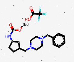 CC(C)(C)OC(=O)NC1CCC(CN2CCN(Cc3ccccc3)CC2)C1.O=C(O)C(F)(F)F